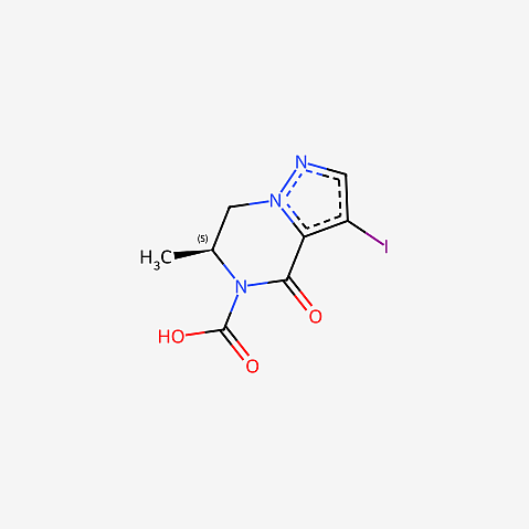 C[C@H]1Cn2ncc(I)c2C(=O)N1C(=O)O